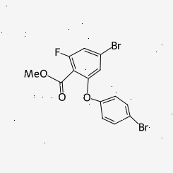 COC(=O)c1c(F)cc(Br)cc1Oc1ccc(Br)cc1